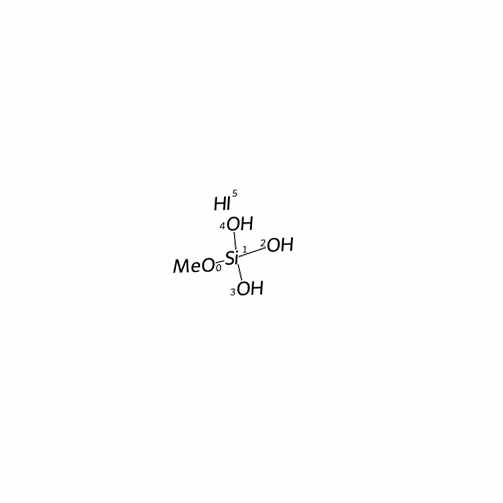 CO[Si](O)(O)O.I